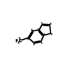 FC(F)(F)c1ccc2c(c1)C=CC2